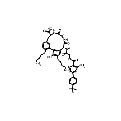 C[C@@H]1NC(=O)[C@@H](N(C)C(=O)CNC(=O)c2ncc(-c3ccc(C(C)(C)C)cc3)nc2N)c2cc(OCCCN)c(O)c(c2)-c2cc(ccc2OCCCN)C[C@@H](C(=O)O)NC1=O